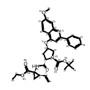 C=C[C@H]1C[C@]1(NC(=O)[C@@H]1C[C@@H](Oc2cc(-c3ccccc3)nc3cc(OC)ccc23)CN1C(=O)OC(C)(C)C)C(=O)OCC